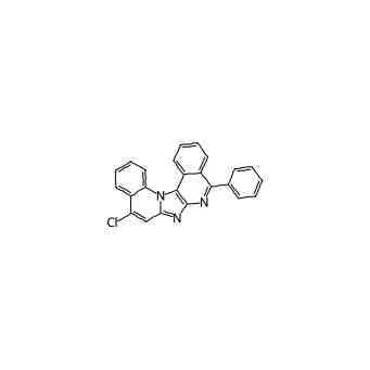 Clc1cc2nc3nc(-c4ccccc4)c4ccccc4c3n2c2ccccc12